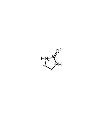 O=C1NCCP1